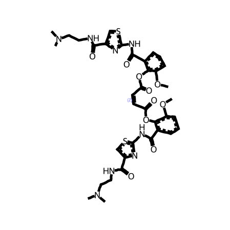 COc1cccc(C(=O)Nc2nc(C(=O)NCCN(C)C)cs2)c1OC(=O)/C=C\C(=O)Oc1c(OC)cccc1C(=O)Nc1nc(C(=O)NCCN(C)C)cs1